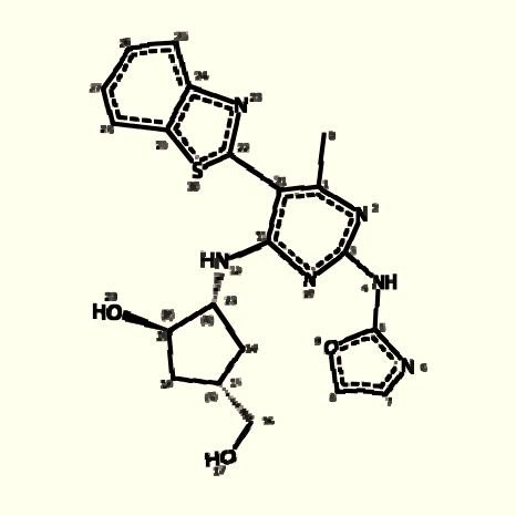 Cc1nc(Nc2ncco2)nc(N[C@@H]2C[C@H](CO)C[C@H]2O)c1-c1nc2ccccc2s1